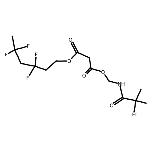 CCC(C)(C)C(=O)NCOC(=O)CC(=O)OCCC(F)(F)CC(C)(F)F